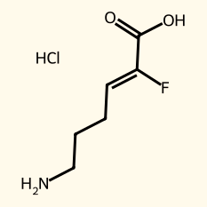 Cl.NCCCC=C(F)C(=O)O